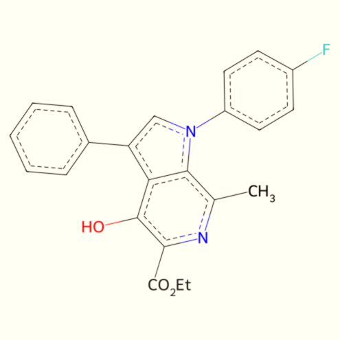 CCOC(=O)c1nc(C)c2c(c(-c3ccccc3)cn2-c2ccc(F)cc2)c1O